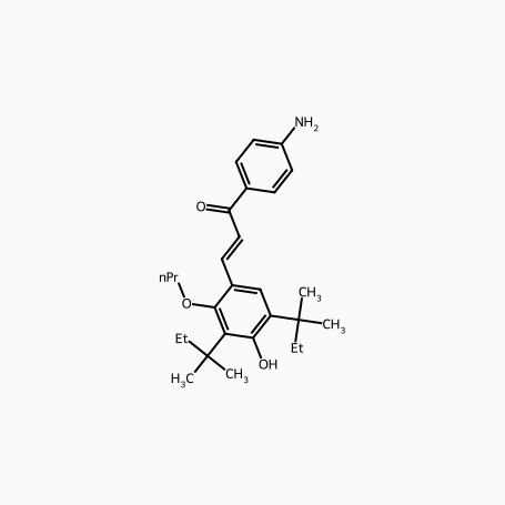 CCCOc1c(C=CC(=O)c2ccc(N)cc2)cc(C(C)(C)CC)c(O)c1C(C)(C)CC